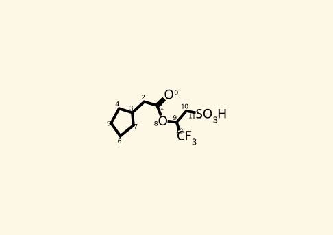 O=C(CC1CCCC1)OC(CS(=O)(=O)O)C(F)(F)F